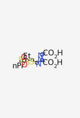 CCCOc1c2ccsc2c(OCC)c2cc(-c3ccc(-c4ccnc(-c5cc(C(=O)O)cc(-c6cc(C(=O)O)ccn6)n5)c4)s3)sc12